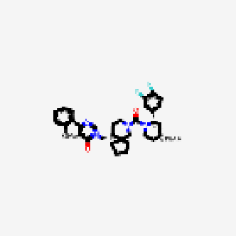 CN[C@@H]1CCN(C(=O)N2CC[C@@H](Cn3cnc(-c4ccccc4OC)cc3=O)C3(CCCC3)C2)[C@H](c2ccc(F)c(F)c2)C1